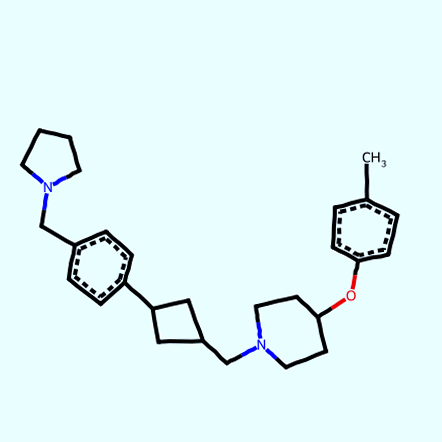 Cc1ccc(OC2CCN(CC3CC(c4ccc(CN5CCCC5)cc4)C3)CC2)cc1